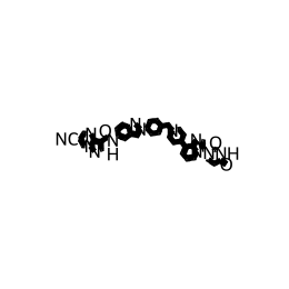 N#Cc1cnc2c(C(=O)Nc3ccc4nn(C5CCC(CN6CCC(c7cccn8c(N9CCC(=O)NC9=O)cnc78)CC6)CC5)cc4c3)cnn2c1